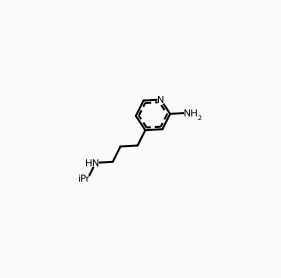 CC(C)NCCCc1ccnc(N)c1